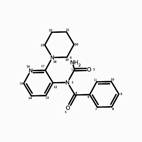 NC(=O)N(C(=O)c1ccccc1)c1cccnc1N1CCCCC1